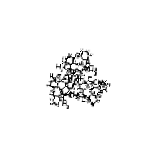 CC1(C)C2=C3c4c(cccc4C(C)(C)c4cc(N(c5cc6c7c(c5)C(C)(C)c5cccc8c5C7=C(c5ccccc5O8)C6(C)C)c5cc6c7c(c5)C(C)(C)c5cccc8c5C7=C(c5ccccc5O8)C6(C)C)cc1c43)Oc1ccccc12